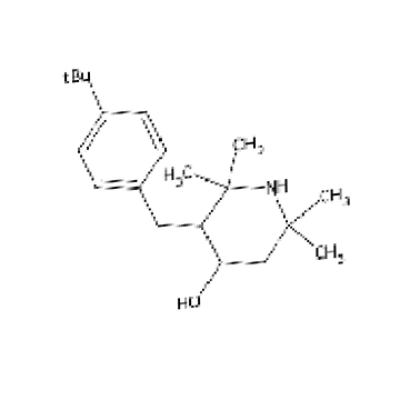 CC1(C)CC(O)C(Cc2ccc(C(C)(C)C)cc2)C(C)(C)N1